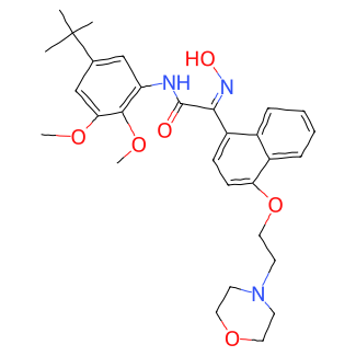 COc1cc(C(C)(C)C)cc(NC(=O)C(=NO)c2ccc(OCCN3CCOCC3)c3ccccc23)c1OC